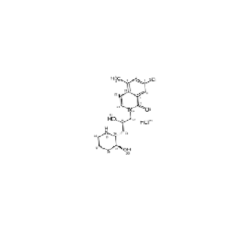 Cc1cc(Cl)cc2c(=O)n(CC(O)C[C@H]3NCCC[C@@H]3O)cnc12.Cl